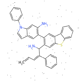 C=C/C=C(/c1ccccc1)C(N)c1cc2sc3ccccc3c2cc1-c1cc2ccn(-c3ccccc3)c2cc1N